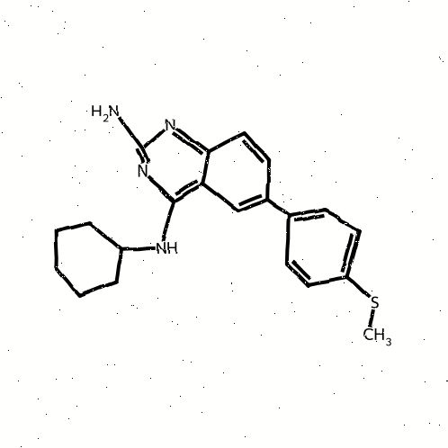 CSc1ccc(-c2ccc3nc(N)nc(NC4CCCCC4)c3c2)cc1